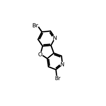 Brc1cnc2c(c1)oc1cc(Br)ncc12